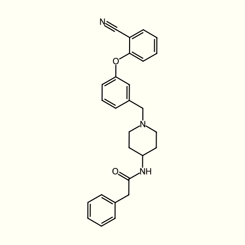 N#Cc1ccccc1Oc1cccc(CN2CCC(NC(=O)Cc3ccccc3)CC2)c1